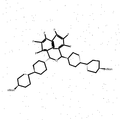 CCCCCCCCC[C@H]1CC[C@H]([C@H]2CC[C@H](C(OC(c3ccc(F)c(F)c3F)[C@H]3CC[C@H]([C@H]4CC[C@H](CCCCCCCCC)CC4)CC3)c3ccc(F)c(F)c3F)CC2)CC1